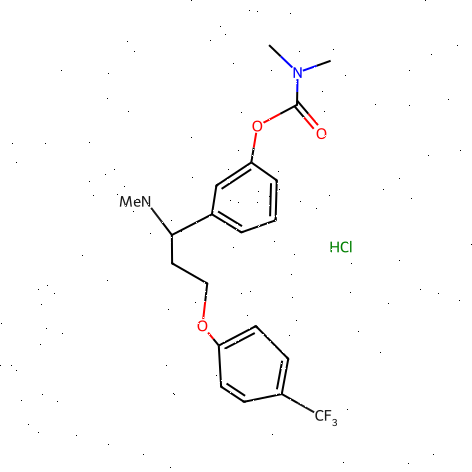 CNC(CCOc1ccc(C(F)(F)F)cc1)c1cccc(OC(=O)N(C)C)c1.Cl